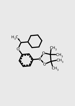 C[C@H](Oc1cccc(B2OC(C)(C)C(C)(C)O2)c1)C1CCCCC1